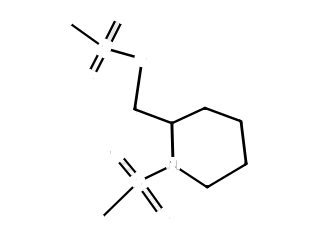 CS(=O)(=O)OCC1CCCCN1S(C)(=O)=O